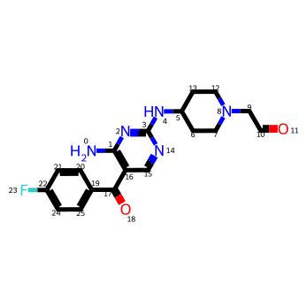 Nc1nc(NC2CCN(CC=O)CC2)ncc1C(=O)c1ccc(F)cc1